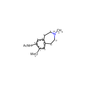 COc1cc2c(cc1NC(C)=O)CCN(C)CC2